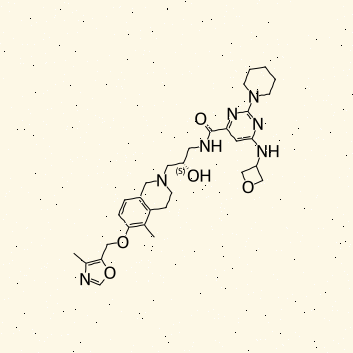 Cc1ncoc1COc1ccc2c(c1C)CCN(C[C@@H](O)CNC(=O)c1cc(NC3COC3)nc(N3CCCCC3)n1)C2